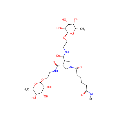 CCNC(=O)CCCCC(=O)N1CC(C(=O)NCCO[C@@H]2O[C@@H](C)[C@@H](O)[C@@H](O)[C@@H]2O)[C@@H](C(=O)NCCO[C@@H]2O[C@@H](C)[C@@H](O)[C@@H](O)[C@@H]2O)C1